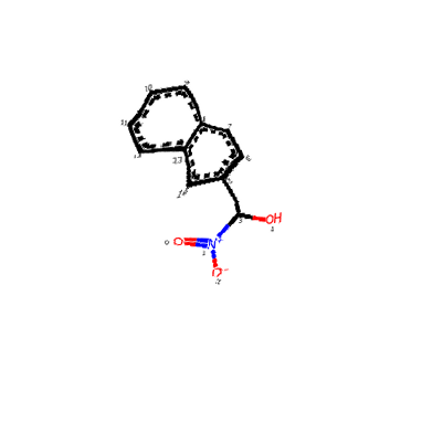 O=[N+]([O-])C(O)c1ccc2ccccc2c1